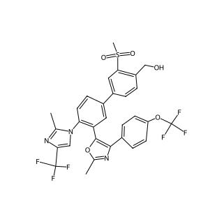 Cc1nc(-c2ccc(OC(F)(F)F)cc2)c(-c2cc(-c3ccc(CO)c(S(C)(=O)=O)c3)ccc2-n2cc(C(F)(F)F)nc2C)o1